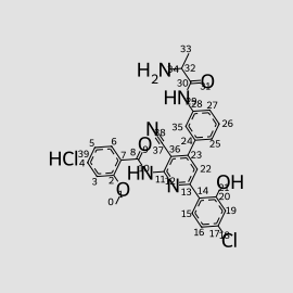 COc1ccccc1C(=O)Nc1nc(-c2ccc(Cl)cc2O)cc(-c2cccc(NC(=O)C(C)N)c2)c1C#N.Cl